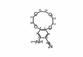 CNc1cc2c(cc1C#N)OCCOCCOCCO2